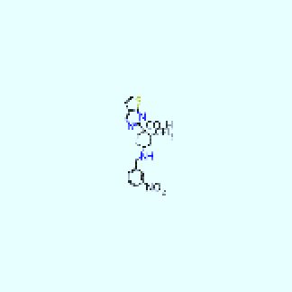 CC1CC(NCc2cccc([N+](=O)[O-])c2)CCC1(C(=O)O)c1ncc2ccsc2n1